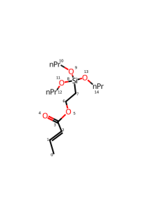 CC=CC(=O)OCC[Si](OCCC)(OCCC)OCCC